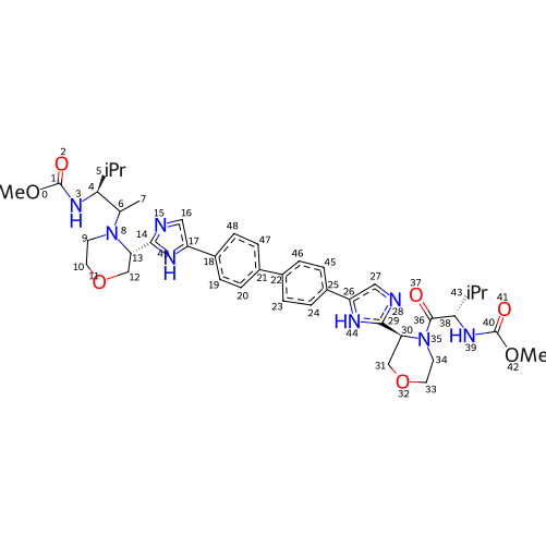 COC(=O)N[C@@H](C(C)C)C(C)N1CCOC[C@H]1c1ncc(-c2ccc(-c3ccc(-c4cnc([C@@H]5COCCN5C(=O)[C@@H](NC(=O)OC)C(C)C)[nH]4)cc3)cc2)[nH]1